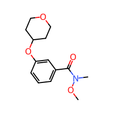 CON(C)C(=O)c1cccc(OC2CCOCC2)c1